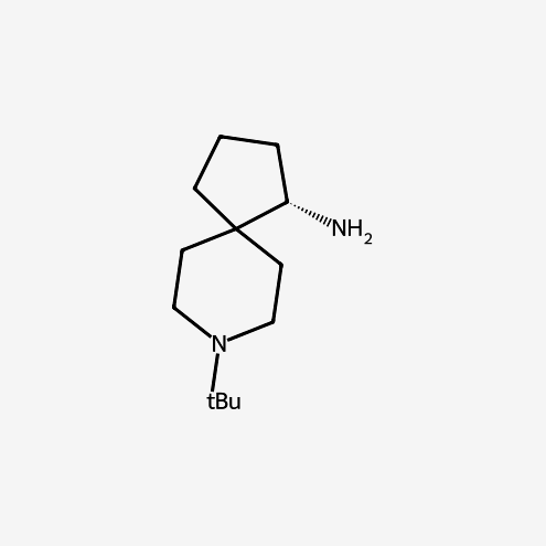 CC(C)(C)N1CCC2(CCC[C@@H]2N)CC1